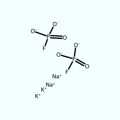 O=P([O-])([O-])F.O=P([O-])([O-])F.[K+].[K+].[Na+].[Na+]